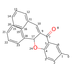 Cc1ccc2c(c1)C(=O)/C(=C/c1ccccc1)C(c1ccccc1)O2